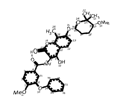 COc1ccc(C(=O)Nc2c(O)c3ccc(O[C@H]4CC[C@@H](OC)C(C)(C)O4)c(C)c3oc2=O)cc1Oc1ccccc1